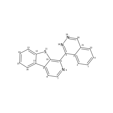 c1ccc2c(-c3nccc4c3sc3ccccc34)nncc2c1